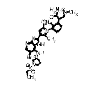 CCS(=O)(=O)N1CC[C@H](Nc2c(Br)cnc3nc(-c4cc(C)n(-c5cccc(C(CN(C)C)C(N)=O)c5C)c4C)[nH]c23)C1